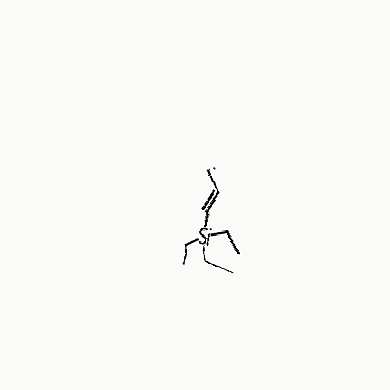 [CH2]C=C[Si](CC)(CC)CC